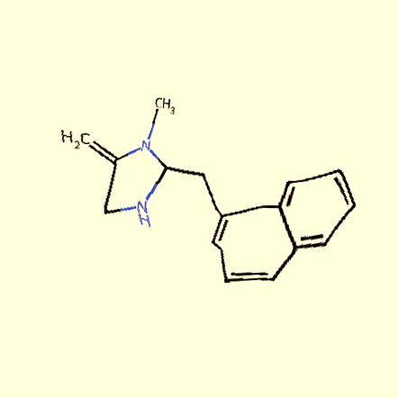 C=C1CNC(Cc2cccc3ccccc23)N1C